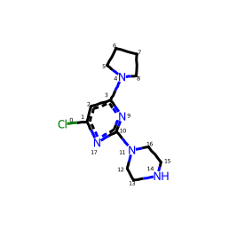 Clc1cc(N2CCCC2)nc(N2CCNCC2)n1